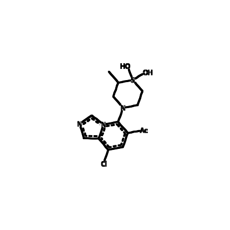 CC(=O)c1cc(Cl)c2cncn2c1N1CCS(O)(O)C(C)C1